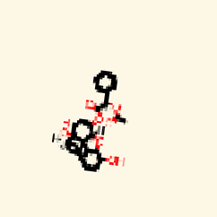 CC(=O)O[C@H](C(=O)OC1=CC[C@@]2(O)[C@@H]3CCC[C@@]24c2c(ccc(O)c2O[C@@H]14)C3)c1ccccc1